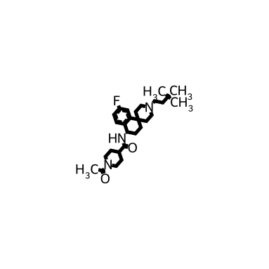 CC(=O)N1CCC(C(=O)N[C@H]2CCC3(CCN(CCC(C)(C)C)CC3)c3cc(F)ccc32)CC1